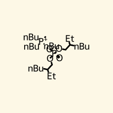 CCCCC(CC)COP(=O)([O-])OCC(CC)CCCC.CCCC[P+](C)(CCCC)CCCC